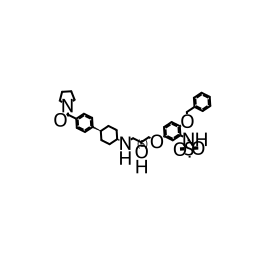 CS(=O)(=O)Nc1cc(OC[C@@H](O)CN[C@H]2CC[C@H](c3ccc(C(=O)N4CCCC4)cc3)CC2)ccc1OCc1ccccc1